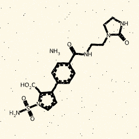 N.NS(=O)(=O)n1ccc(-c2ccc(C(=O)NCCN3CCNC3=O)cc2)c1C(=O)O